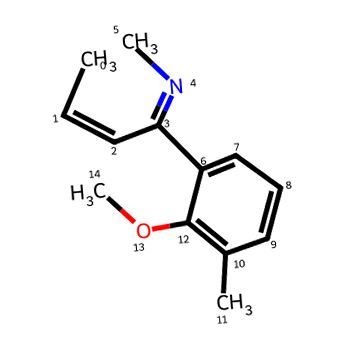 C/C=C\C(=N/C)c1cccc(C)c1OC